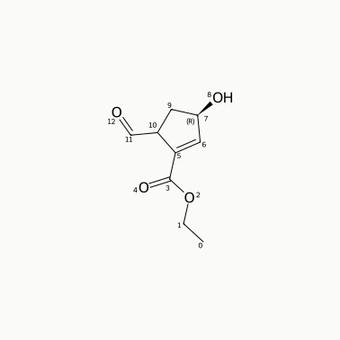 CCOC(=O)C1=C[C@H](O)CC1C=O